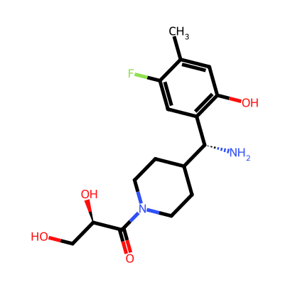 Cc1cc(O)c([C@H](N)C2CCN(C(=O)[C@H](O)CO)CC2)cc1F